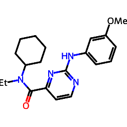 CCN(C(=O)c1ccnc(Nc2cccc(OC)c2)n1)C1CCCCC1